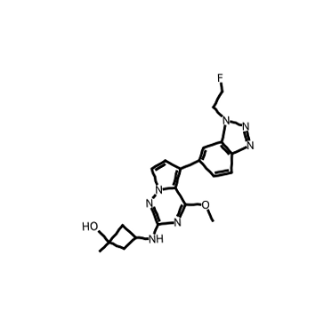 COc1nc(NC2CC(C)(O)C2)nn2ccc(-c3ccc4nnn(CCF)c4c3)c12